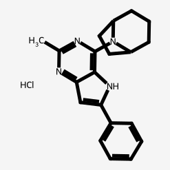 Cc1nc(N2C3CCCC2CC3)c2[nH]c(-c3ccccc3)cc2n1.Cl